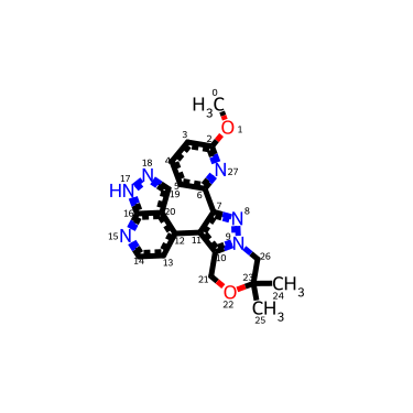 COc1cccc(-c2nn3c(c2-c2ccnc4[nH]ncc24)COC(C)(C)C3)n1